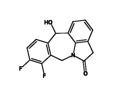 O=C1Cc2cccc3c2N1Cc1c(ccc(F)c1F)C3O